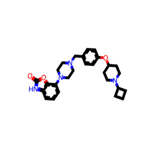 O=c1[nH]c2cccc(N3CCN(Cc4ccc(OC5CCN(C6CCC6)CC5)cc4)CC3)c2o1